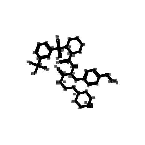 COc1ccc(C[C@H](NC(=O)[C@@H]2CCCCN2S(=O)(=O)c2cccc(C(F)(F)F)c2)C(=O)NCCN2CCNCC2)cc1